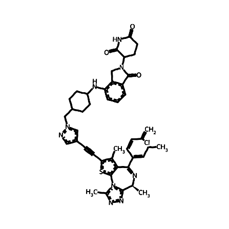 C=C(Cl)/C=C\C(=C/CC)C1=N[C@@H](C)c2nnc(C)n2-c2sc(C#Cc3cnn(CC4CCC(Nc5cccc6c5CN(C5CCC(=O)NC5=O)C6=O)CC4)c3)c(C)c21